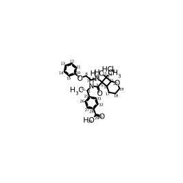 C[C@H](NC(=O)C1(NCCOc2ccccc2)C2CCCOC2C1(C)C)c1ccc(C(=O)O)cc1.Cl